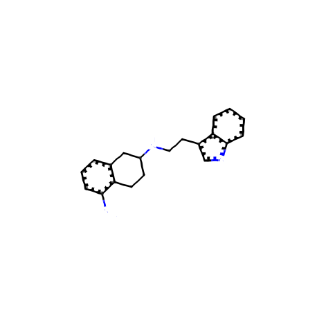 Nc1cccc2c1CCC(NCCc1c[nH]c3ccccc13)C2